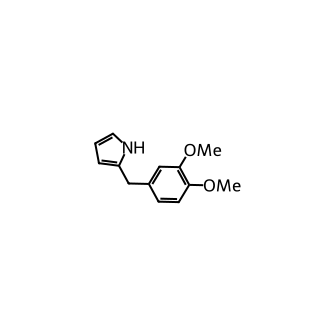 COc1ccc(Cc2ccc[nH]2)cc1OC